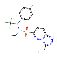 CCN([C@H](c1ccc(F)cc1)C(F)(F)F)S(=O)(=O)c1ccc2nnc(C)n2n1